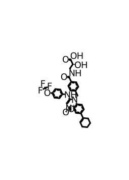 O=C(NC[C@@H](O)C(=O)O)c1ccc(CN(/C(=C\[N+](=O)[O-])Nc2ccc(OC(F)(F)F)cc2)c2ccc(C3=CCCCC3)cc2)cc1